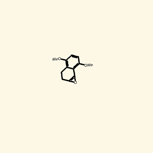 COc1ccc(OC)c2c1CCC1=C2O1